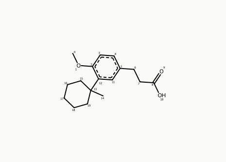 COc1ccc(CCC(=O)O)cc1C1(C)CCCCC1